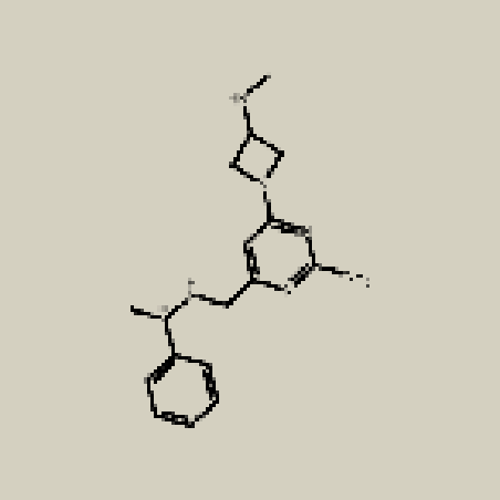 CNC1CN(c2cc(CN[C@H](C)c3ccccc3)nc(N)n2)C1